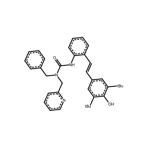 CC(C)(C)c1cc(C=Cc2ccccc2NC(=O)N(Cc2ccccc2)Cc2ccccn2)cc(C(C)(C)C)c1O